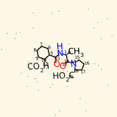 C[C@H](NC(=O)C1CCCCC1C(=O)O)C(=O)N1CCC[C@H]1C(=O)O